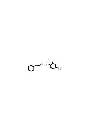 O=C(O)c1cc([N+](=O)[O-])ccc1NOCCCc1ccccc1